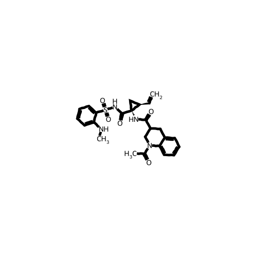 C=C[C@@H]1C[C@]1(NC(=O)C1Cc2ccccc2N(C(C)=O)C1)C(=O)NS(=O)(=O)c1ccccc1NC